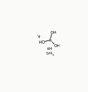 OB(O)O.[KH].[SrH2].[V]